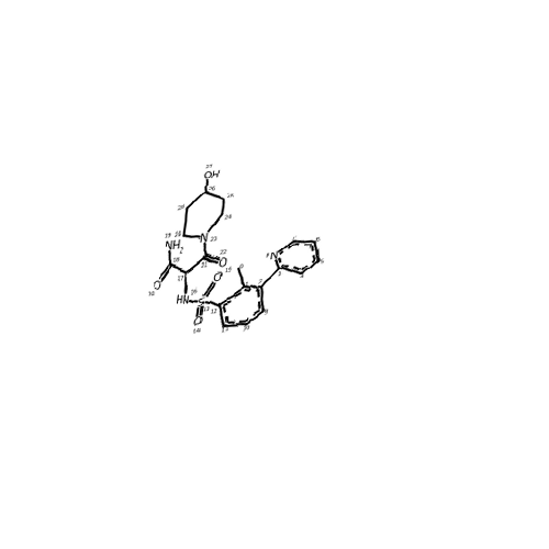 Cc1c(-c2ccccn2)cccc1S(=O)(=O)N[C@@H](C(N)=O)C(=O)N1CCC(O)CC1